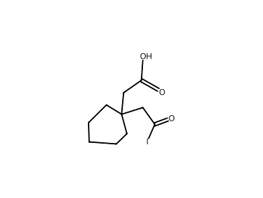 O=C(O)CC1(CC(=O)I)CCCCC1